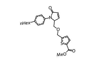 CCCCCCc1ccc(N2C(=O)C=CC2COCc2ccc(C(=O)OC)s2)cc1